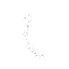 CC1(C)C(=O)[SH](c2ccc(C#N)c(C(F)(F)F)c2)NN1c1ccc(C(=O)N2CCC3(CC2)CC(N2CCC4(CC2)COc2cc5c(cc2C4)C(=O)N(C2CCC(=O)NC2=O)C5=O)C3)c(F)c1